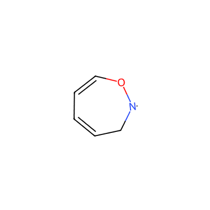 C1=CC[N]OC=C1